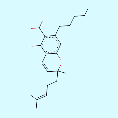 CCCCCc1cc2c(c(O)c1C(O)O)C=CC(C)(CCC=C(C)C)O2